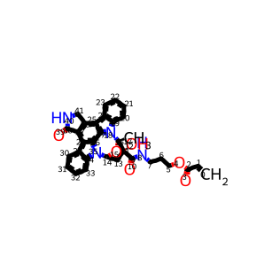 C=CC(=O)OCCCNC(=O)[C@@]1(O)CC2O[C@]1(C)n1c3ccccc3c3c4c(c5c6ccccc6n2c5c31)C(=O)NC4